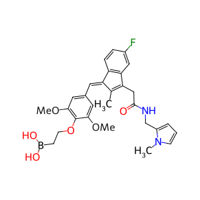 COc1cc(C=C2C(C)=C(CC(=O)NCc3cccn3C)c3cc(F)ccc32)cc(OC)c1OCCB(O)O